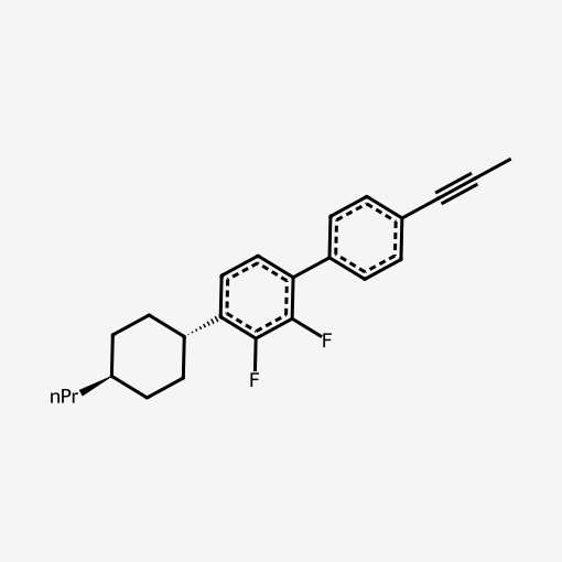 CC#Cc1ccc(-c2ccc([C@H]3CC[C@H](CCC)CC3)c(F)c2F)cc1